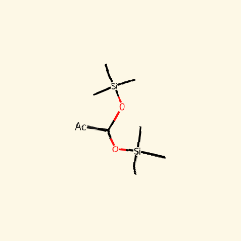 CC(=O)C(O[Si](C)(C)C)O[Si](C)(C)C